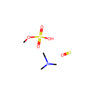 CN(C)C.COS(=O)(=O)O.O=S